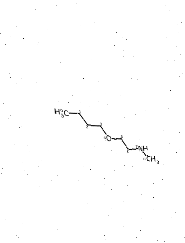 CCCCOCCNC